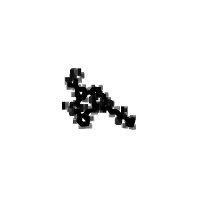 CCn1ccc(-c2cc(-c3cnn(C)c3)cc([C@@H](C)NC(=O)c3ccccc3CCC(=O)NNC(=O)/C=C/C(=O)NC34CC(C3)C4)c2)n1